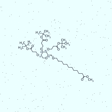 COC(=O)CCCCCCCCCCCOC[C@H]1OC[C@H](OCCC(=O)OC(C)(C)C)[C@@H](OCCC(=O)OC(C)(C)C)[C@@H]1OCCC(=O)OC(C)(C)C